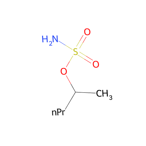 CCCC(C)OS(N)(=O)=O